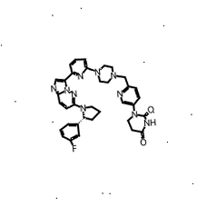 O=C1CCN(c2ccc(CN3CCN(c4cccc(-c5cnc6ccc(N7CCC[C@@H]7c7cccc(F)c7)nn56)n4)CC3)nc2)C(=O)N1